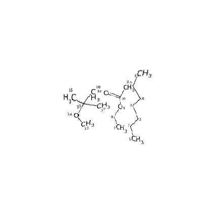 CCCCCCC.CCOC(C)=O.COC(C)(C)C